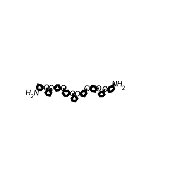 Nc1cccc(Oc2ccccc2Oc2ccc(Oc3cccc(Oc4ccccc4Oc4cccc(Oc5ccc(Oc6ccccc6Oc6cccc(N)c6)cc5)c4)c3)cc2)c1